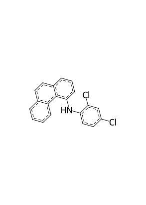 Clc1ccc(Nc2cccc3ccc4ccccc4c23)c(Cl)c1